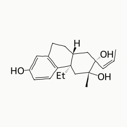 C/C=C\[C@]1(O)C[C@H]2CCc3cc(O)ccc3[C@]2(CC)C[C@@]1(C)O